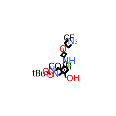 CC(C)(C)OC(=O)N(C(=O)O)c1cc2c(CN[C@H]3C[C@H](Oc4ccnc(C(F)(F)F)c4)C3)c(F)cc(CO)c2cn1